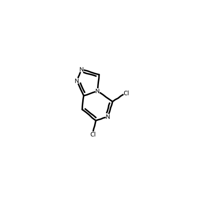 Clc1cc2nncn2c(Cl)n1